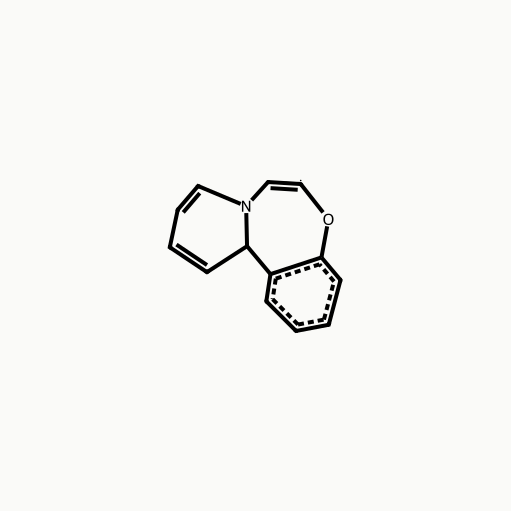 [C]1=CN2C=CC=CC2c2ccccc2O1